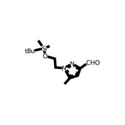 Cc1cc(C=O)nn1CCO[Si](C)(C)C(C)(C)C